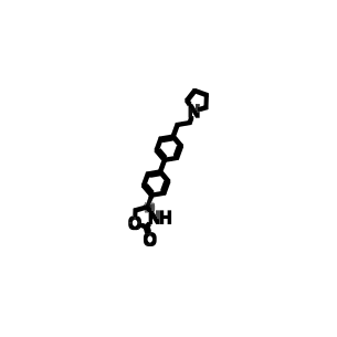 O=C1N[C@H](c2ccc(-c3ccc(CCN4CCCC4)cc3)cc2)CO1